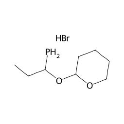 Br.CCC(P)OC1CCCCO1